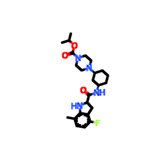 Cc1ccc(F)c2c1NC(C(=O)N[C@@H]1CCC[C@H](N3CCN(C(=O)OC(C)C)CC3)C1)C2